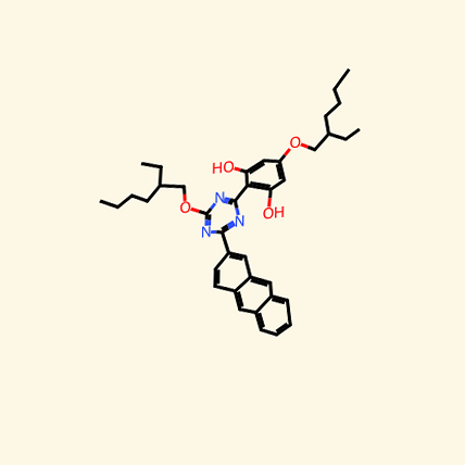 CCCCC(CC)COc1cc(O)c(-c2nc(OCC(CC)CCCC)nc(-c3ccc4cc5ccccc5cc4c3)n2)c(O)c1